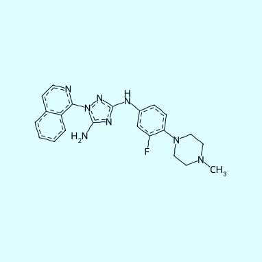 CN1CCN(c2ccc(Nc3nc(N)n(-c4nccc5ccccc45)n3)cc2F)CC1